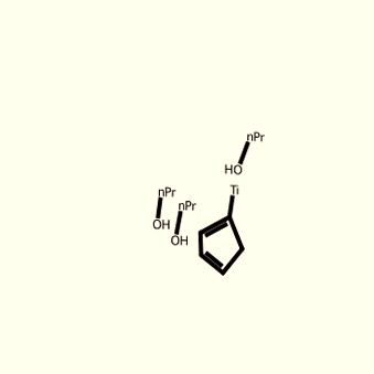 CCCO.CCCO.CCCO.[Ti][C]1=CC=CC1